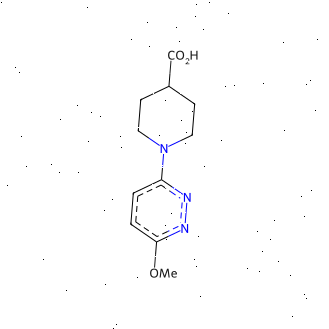 COc1ccc(N2CCC(C(=O)O)CC2)nn1